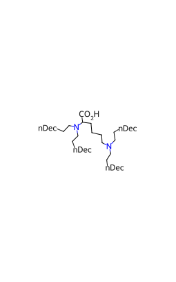 CCCCCCCCCCCCN(CCCCCCCCCCCC)CCCCC(C(=O)O)N(CCCCCCCCCCCC)CCCCCCCCCCCC